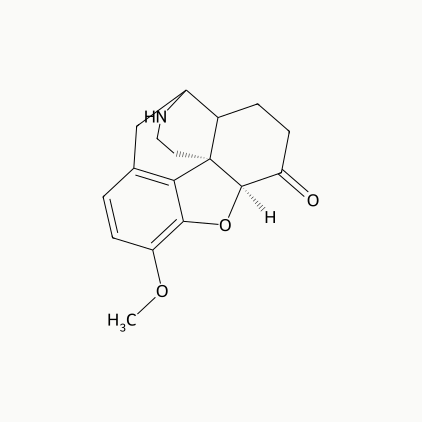 COc1ccc2c3c1O[C@@H]1C(=O)CCC4C(C2)NCC[C@]341